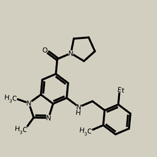 CCc1cccc(C)c1CNc1cc(C(=O)N2CCCC2)cc2c1nc(C)n2C